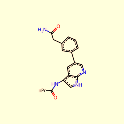 CCCC(=O)Nc1c[nH]c2ncc(-c3cccc(CC(N)=O)c3)cc12